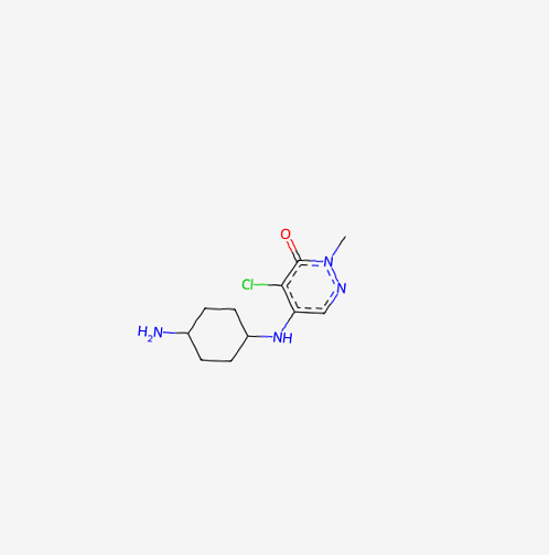 Cn1ncc(NC2CCC(N)CC2)c(Cl)c1=O